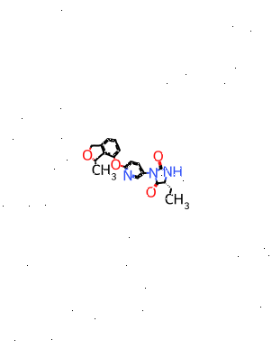 CC[C@H]1NC(=O)N(c2ccc(Oc3cccc4c3[C@@H](C)OC4)nc2)C1=O